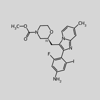 COC(=O)N1CCO[C@@H](Cc2c(-c3c(F)cc(N)cc3I)nc3cc(C)ccn23)C1